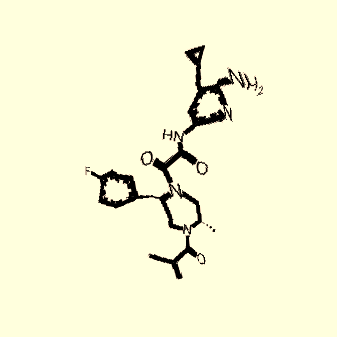 CC(C)C(=O)N1C[C@@H](c2ccc(F)cc2)N(C(=O)C(=O)Nc2cnc(N)c(C3CC3)c2)C[C@@H]1C